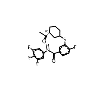 CC(=O)[C@@H]1CCCC(Sc2cc(C(=O)Nc3cc(F)c(F)c(F)c3)ccc2F)C1